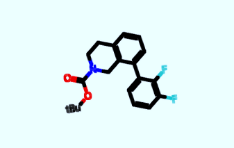 CC(C)(C)OC(=O)N1CCc2cccc(-c3cccc(F)c3F)c2C1